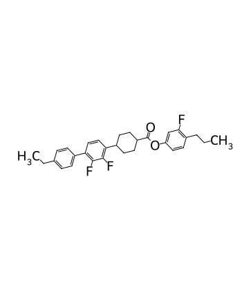 CCCc1ccc(OC(=O)C2CCC(c3ccc(-c4ccc(CC)cc4)c(F)c3F)CC2)cc1F